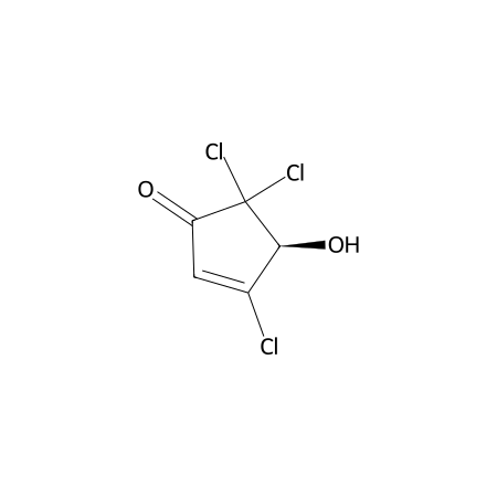 O=C1C=C(Cl)[C@H](O)C1(Cl)Cl